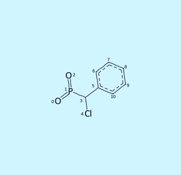 O=P(=O)C(Cl)c1ccccc1